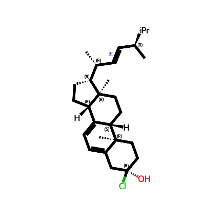 CC(C)[C@@H](C)/C=C/[C@@H](C)[C@H]1CC[C@H]2C3=CC=C4C[C@](O)(Cl)CC[C@]4(C)[C@H]3CC[C@]12C